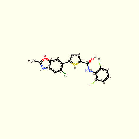 Cc1nc2cc(Cl)c(-c3ccc(C(=O)Nc4c(F)cccc4F)s3)cc2o1